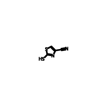 N#Cc1csc(S)n1